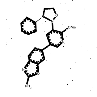 COc1ncc(-c2ccc3nc(N)oc3c2)cc1N1OCC[C@H]1c1ccccc1